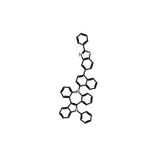 c1ccc(-c2nc3cc(-c4ccc(N5c6ccccc6-c6c(n(-c7ccccc7)c7ccccc67)-c6ccccc65)c5ccccc45)ccc3s2)cc1